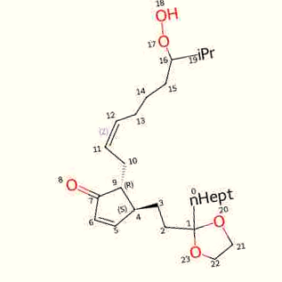 CCCCCCCC1(CC[C@H]2C=CC(=O)[C@@H]2C/C=C\CCCC(OO)C(C)C)OCCO1